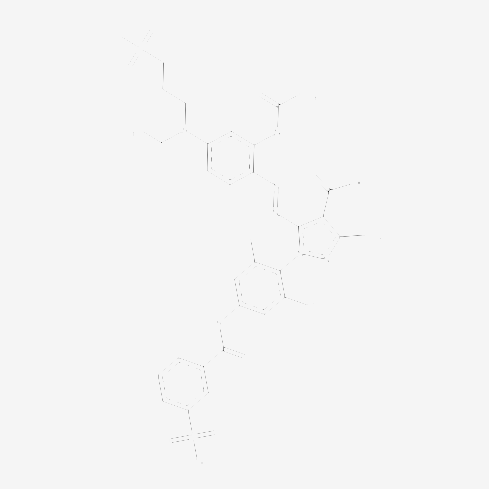 CCN(CCCS(=O)(=O)O)c1ccc(/N=N/c2c(C(=O)O)c(C)nn2-c2c(Cl)cc(NC(=O)c3cccc(S(=O)(=O)O)c3)cc2Cl)c(NC(C)=O)c1